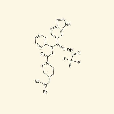 CCN(CC)CC1CCN(C(=O)CN(C(=O)c2ccc3cc[nH]c3c2)c2ccccc2)CC1.O=C(O)C(F)(F)F